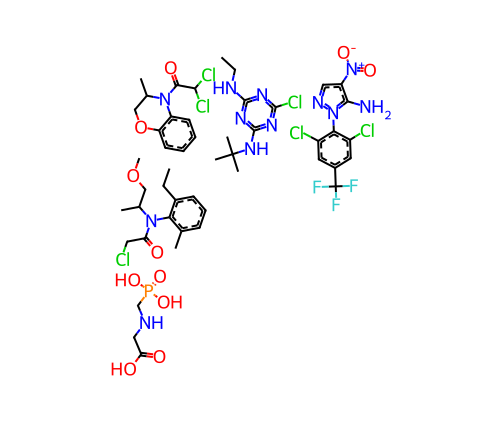 CC1COc2ccccc2N1C(=O)C(Cl)Cl.CCNc1nc(Cl)nc(NC(C)(C)C)n1.CCc1cccc(C)c1N(C(=O)CCl)C(C)COC.Nc1c([N+](=O)[O-])cnn1-c1c(Cl)cc(C(F)(F)F)cc1Cl.O=C(O)CNCP(=O)(O)O